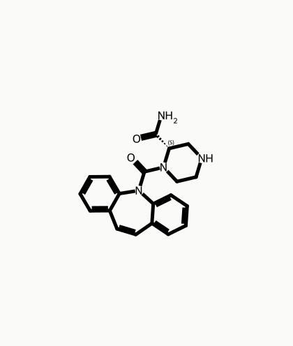 NC(=O)[C@@H]1CNCCN1C(=O)N1c2ccccc2C=Cc2ccccc21